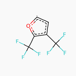 FC(F)(F)c1c[c]oc1C(F)(F)F